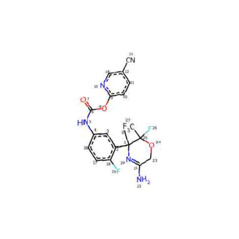 CC1(c2cc(NC(=O)Oc3ccc(C#N)cn3)ccc2F)N=C(N)COC1(F)C(F)(F)F